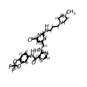 CN1CCN(CCCNc2nc(Cl)cc(CNc3ncsc3C(=O)Nc3ccc4c(c3)OC(F)(F)O4)n2)CC1